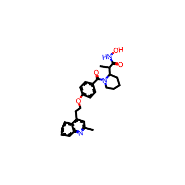 Cc1cc(CCOc2ccc(C(=O)N3CCCCC3C(C)C(=O)NO)cc2)c2ccccc2n1